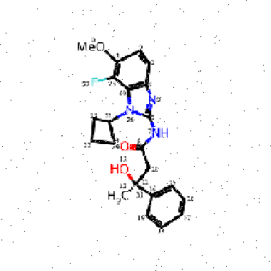 COc1ccc2nc(NC(=O)C[C@](C)(O)c3ccccc3)n(C3CCC3)c2c1F